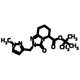 Cn1ccc(Cn2nc3n(c2=O)C(C(=O)OC(C)(C)C)CCC3)n1